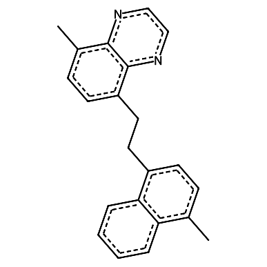 Cc1ccc(CCc2ccc(C)c3nccnc23)c2ccccc12